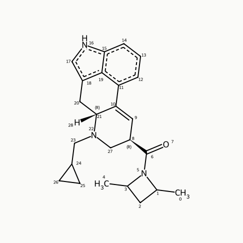 CC1CC(C)N1C(=O)[C@@H]1C=C2c3cccc4[nH]cc(c34)C[C@H]2N(CC2CC2)C1